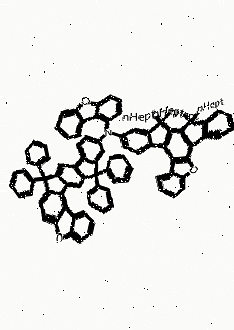 CCCCCCCC1(CCCCCCC)c2ccccc2-c2c1c1c(c3c2oc2ccccc23)-c2ccc(N(c3ccc4c(c3)C(c3ccccc3)(c3ccccc3)c3cc5c(cc3-4)C(c3ccccc3)(c3ccccc3)c3ccc4oc6ccccc6c4c3-5)c3cccc4oc5ccccc5c34)cc2C1(CCCCCCC)CCCCCCC